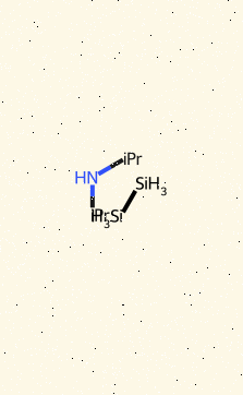 CC(C)NC(C)C.[SiH3][SiH3]